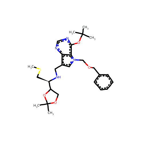 CSC[C@@H](NCc1cn(COCc2ccccc2)c2c(OC(C)(C)C)ncnc12)C1COC(C)(C)O1